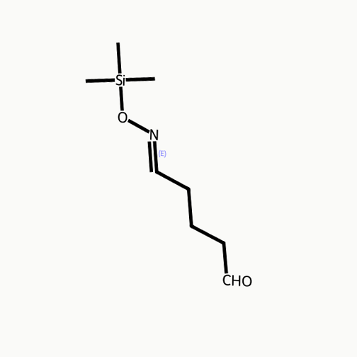 C[Si](C)(C)O/N=C/CCCC=O